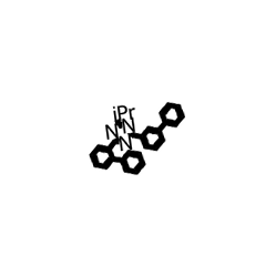 CC(C)c1nc(-c2cccc(-c3ccccc3)c2)nc(-c2ccccc2-c2ccccc2)n1